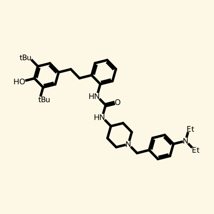 CCN(CC)c1ccc(CN2CCC(NC(=O)Nc3ccccc3CCc3cc(C(C)(C)C)c(O)c(C(C)(C)C)c3)CC2)cc1